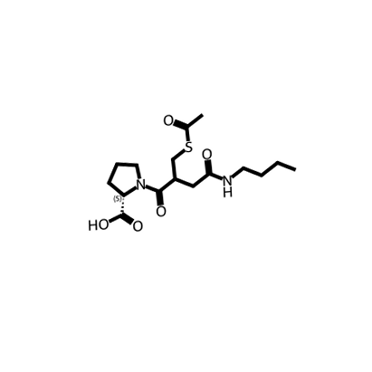 CCCCNC(=O)CC(CSC(C)=O)C(=O)N1CCC[C@H]1C(=O)O